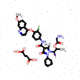 COc1ccc2c(Oc3ccc(NC(=O)c4c(C)n(C(I)C(C)OC(=O)CN)n(-c5ccccc5)c4=O)cc3F)ccnc2c1.O=C(O)C=CC(=O)O